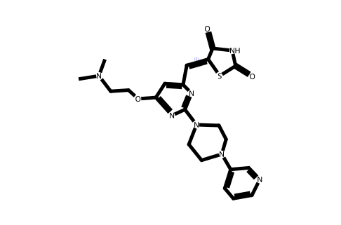 CN(C)CCOc1cc(/C=C2\SC(=O)NC2=O)nc(N2CCN(c3cccnc3)CC2)n1